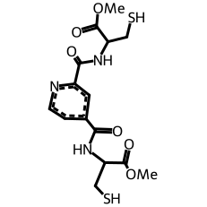 COC(=O)C(CS)NC(=O)c1ccnc(C(=O)NC(CS)C(=O)OC)c1